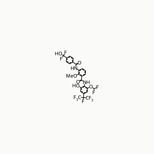 COc1c(NC(=O)c2ccc(C(O)(F)F)cc2)cccc1C(=O)Nc1c(O)cc(C(F)(C(F)(F)F)C(F)(F)F)cc1OC(F)F